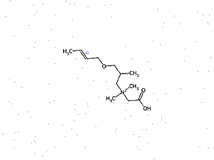 C/C=C/COCC(C)C[N+](C)(C)CC(=O)O